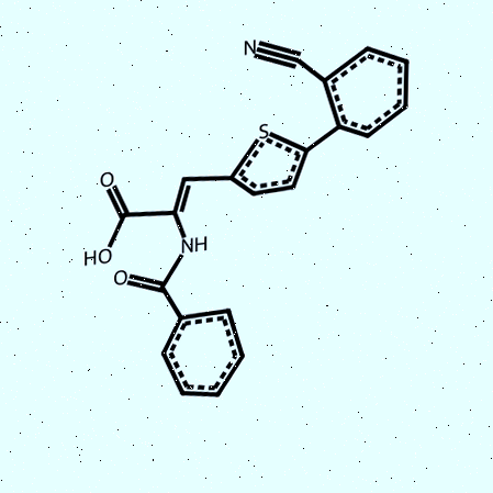 N#Cc1ccccc1-c1ccc(/C=C(\NC(=O)c2ccccc2)C(=O)O)s1